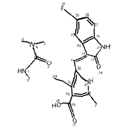 CNC(=O)N(C)C.Cc1[nH]c(/C=C2\C(=O)Nc3ccc(F)cc32)c(C)c1C(=O)O